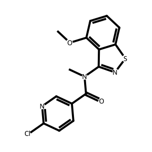 COc1cccc2snc(N(C)C(=O)c3ccc(Cl)nc3)c12